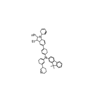 CCCC1C(CC)C2C=C(C3=CC=C(N(C4=CCCC(C5C=NCCC5)=C4)c4ccc5c(c4)C(C)(C)c4ccccc4-5)CC3)C=CC2N1C1C#CC=CC1